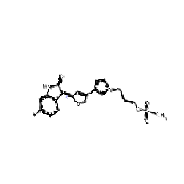 CS(=O)(=O)OCCCn1ccc(C2=C/C(=C3\C(=O)Nc4cc(F)ccc43)OC2)c1